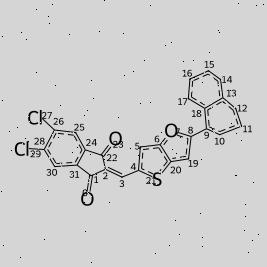 O=C1C(=Cc2cc3oc(-c4cccc5ccccc45)cc3s2)C(=O)c2cc(Cl)c(Cl)cc21